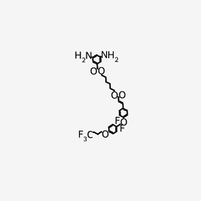 Nc1cc(N)cc(C(=O)OCCCCCCOC(=O)C=Cc2ccc(OC(F)(F)c3ccc(OCCCC(F)(F)F)cc3)cc2)c1